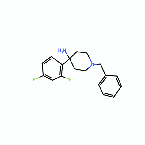 NC1(c2ccc(F)cc2F)CCN(Cc2ccccc2)CC1